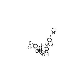 O=C(CC1C(=O)NC=CN1S(=O)(=O)c1ccc(Cl)c(Cl)c1)N[C@@H]1CCCc2cc(CCN3CCCCC3)ccc21